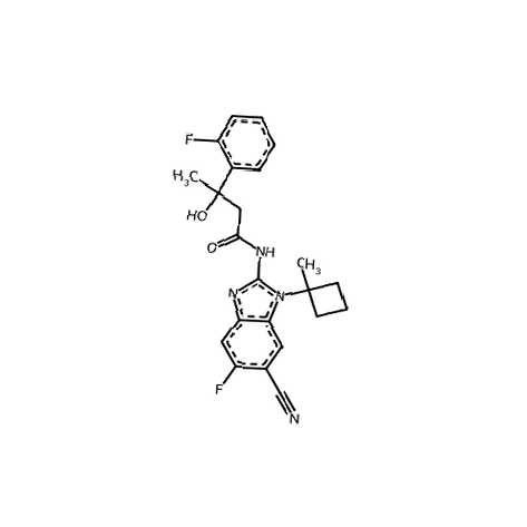 CC(O)(CC(=O)Nc1nc2cc(F)c(C#N)cc2n1C1(C)CCC1)c1ccccc1F